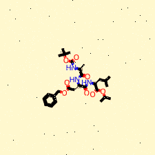 CC(C)C[C@H](NC(=O)[C@H](CC(=O)OCc1ccccc1)NC(=O)[C@H](C)NC(=O)OC(C)(C)C)C(=O)OC(C)C